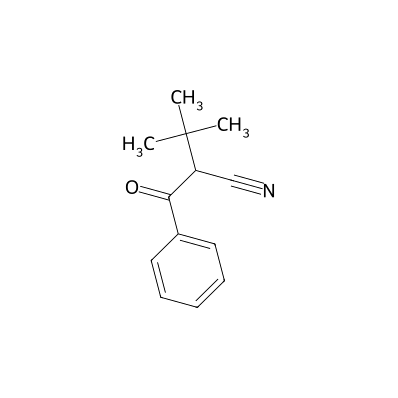 CC(C)(C)C(C#N)C(=O)c1ccccc1